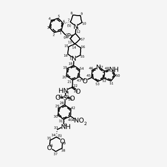 CC(C)c1ccccc1[C@@H]1CCCN1C1CC2(CCN(c3ccc(C(=O)NS(=O)(=O)c4ccc(NC[C@H]5COCCO5)c([N+](=O)[O-])c4)c(Oc4cnc5[nH]ccc5c4)c3)CC2)C1